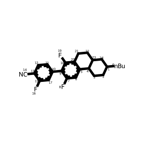 CCCCC1CCC2c3cc(F)c(-c4ccc(C#N)c(F)c4)c(F)c3CCC2C1